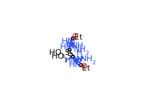 CCOc1ccc(Nc2nc(NCCN)nc(Nc3ccc(/C=C/c4ccc(Nc5nc(NCCN)nc(Nc6ccc(OCC)cc6)n5)cc4S(=O)(=O)O)c(S(=O)(=O)O)c3)n2)cc1